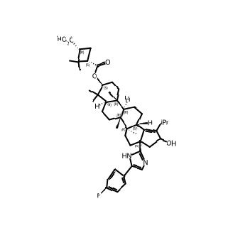 CC(C)C1=C2[C@H]3CC[C@@H]4[C@@]5(C)CC[C@H](OC(=O)[C@H]6C[C@@H](C(=O)O)C6(C)C)C(C)(C)[C@@H]5CC[C@@]4(C)[C@]3(C)CC[C@@]2(c2ncc(-c3ccc(F)cc3)[nH]2)CC1O